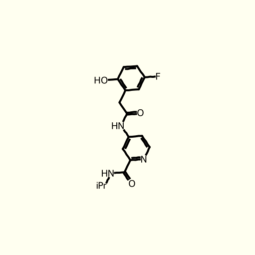 CC(C)NC(=O)c1cc(NC(=O)Cc2cc(F)ccc2O)ccn1